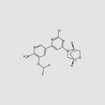 Nc1ncc(-c2cc(N3C[C@@H]4C[C@H]3CO4)nc(Cl)n2)cc1OC(F)F